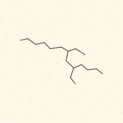 CCCCCCC(CC)CC(CC)CCCC